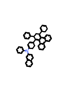 C1=CCCC(C2=c3c(c4ccccc4c4ccccc34)=C(C3=CC=C(N(c4ccccc4)c4ccc5ccccc5c4)CC3)C(c3ccccc3)C2)=C1